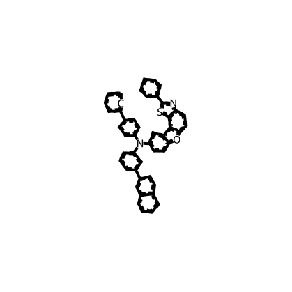 c1ccc(-c2ccc(N(c3cccc(-c4ccc5ccccc5c4)c3)c3ccc4oc5ccc6nc(-c7ccccc7)sc6c5c4c3)cc2)cc1